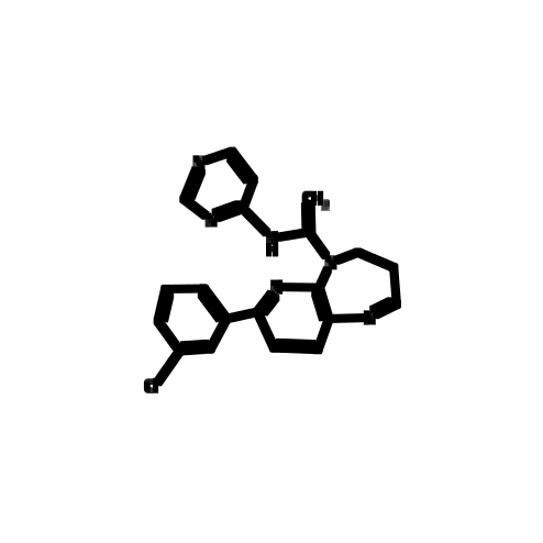 C=C(Nc1ccncn1)N1CCC=Nc2ccc(-c3cccc(Cl)c3)nc21